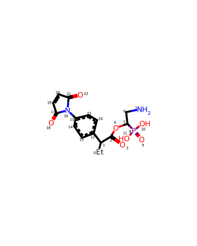 CCC(C(=O)OC(CN)P(=O)(O)O)c1ccc(N2C(=O)C=CC2=O)cc1